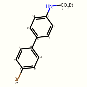 CCOC(=O)Nc1ccc(-c2ccc(Br)cc2)cc1